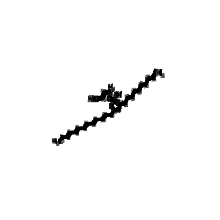 CCCCCCCCCCCCCC(CCCCCCCCCCCC)OS(=O)(=O)O.NCCO